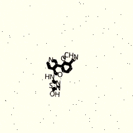 COc1c(C#N)cccc1-c1cnccc1C(=O)Nc1nnc(O)s1